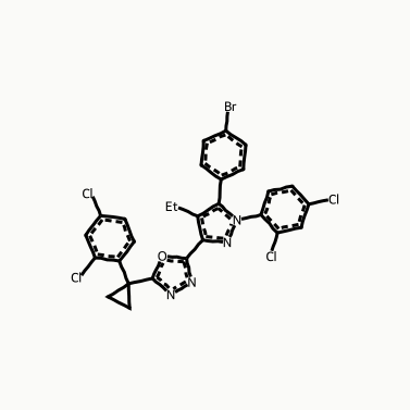 CCc1c(-c2nnc(C3(c4ccc(Cl)cc4Cl)CC3)o2)nn(-c2ccc(Cl)cc2Cl)c1-c1ccc(Br)cc1